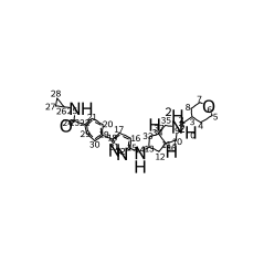 [2H]C([2H])(C1CCOCC1)N1C[C@H]2CC(Nc3ccc(-c4ccc(C(=O)NC5CC5)cc4)nn3)C[C@H]2C1